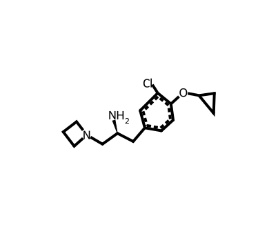 N[C@@H](Cc1ccc(OC2CC2)c(Cl)c1)CN1CCC1